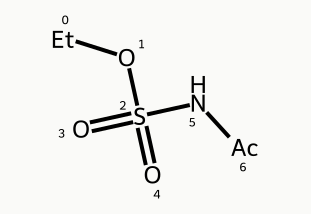 CCOS(=O)(=O)NC(C)=O